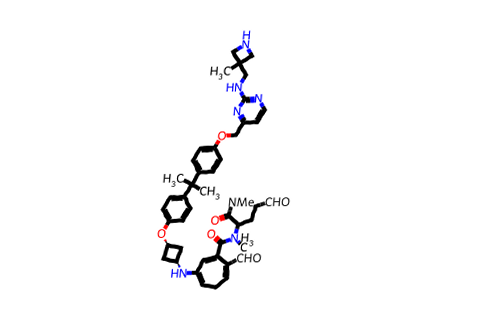 CNC(=O)C(CCC=O)N(C)C(=O)C1=CC(N[C@H]2C[C@@H](Oc3ccc(C(C)(C)c4ccc(OCc5ccnc(NCC6(C)CNC6)n5)cc4)cc3)C2)=CCC=C1C=O